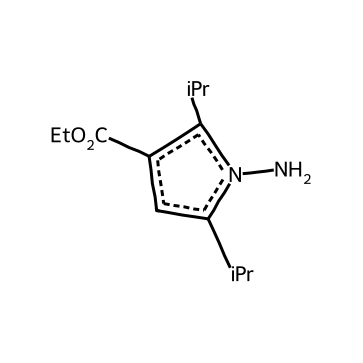 CCOC(=O)c1cc(C(C)C)n(N)c1C(C)C